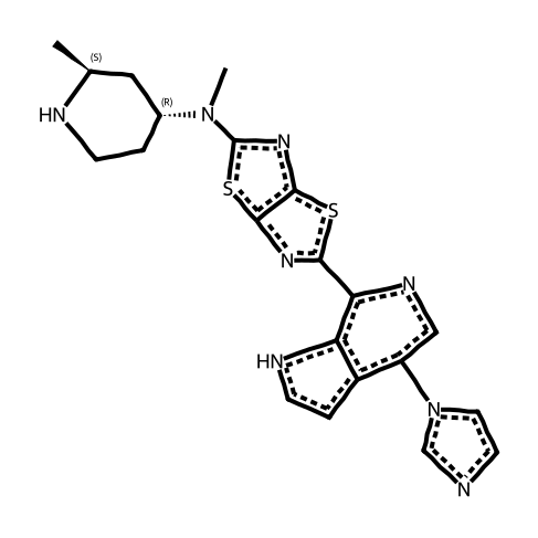 C[C@H]1C[C@H](N(C)c2nc3sc(-c4ncc(-n5ccnc5)c5cc[nH]c45)nc3s2)CCN1